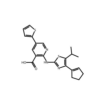 CC(C)c1sc(Nc2ncc(-c3cccs3)cc2C(=O)O)nc1C1=CCCC1